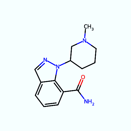 CN1CCCC(n2ncc3cccc(C(N)=O)c32)C1